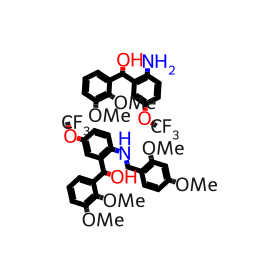 COc1ccc(CNc2ccc(OC(F)(F)F)cc2C(O)c2cccc(OC)c2OC)c(OC)c1.COc1cccc(C(O)c2cc(OC(F)(F)F)ccc2N)c1OC